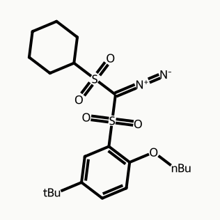 CCCCOc1ccc(C(C)(C)C)cc1S(=O)(=O)C(=[N+]=[N-])S(=O)(=O)C1CCCCC1